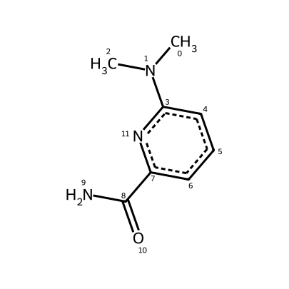 CN(C)c1cccc(C(N)=O)n1